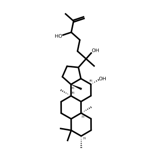 C=C(C)C(O)CCC(C)(O)C1CC[C@]2(C)C1[C@H](O)CC1[C@@]3(C)CC[C@H](C)C(C)(C)C3CC[C@]12C